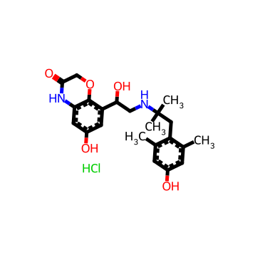 Cc1cc(O)cc(C)c1CC(C)(C)NCC(O)c1cc(O)cc2c1OCC(=O)N2.Cl